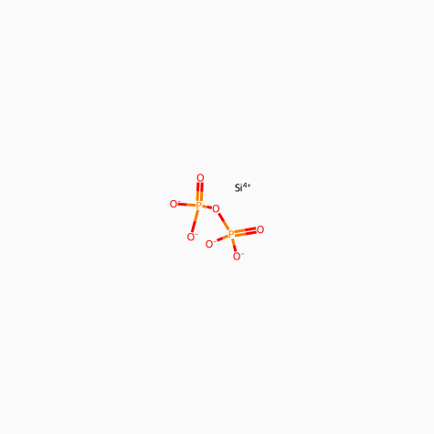 O=P([O-])([O-])OP(=O)([O-])[O-].[Si+4]